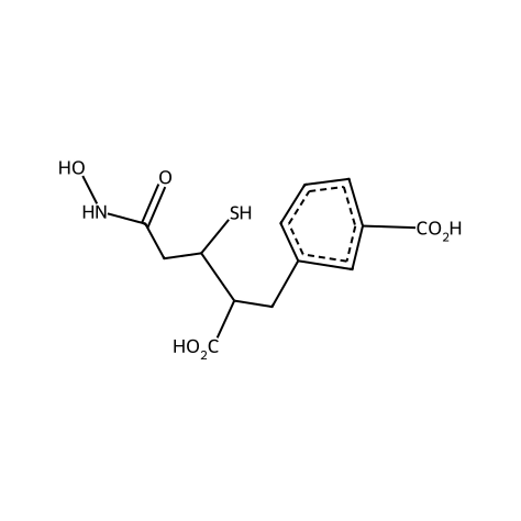 O=C(CC(S)C(Cc1cccc(C(=O)O)c1)C(=O)O)NO